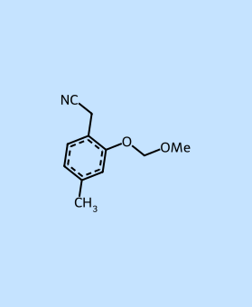 COCOc1cc(C)ccc1CC#N